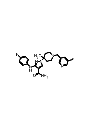 CC1(n2cc(C(N)=O)c(Nc3ccc(F)cc3)n2)CCN(Cc2cncc(F)c2)CC1